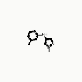 Cc1ccnc(Nc2cnn(C)c2)c1